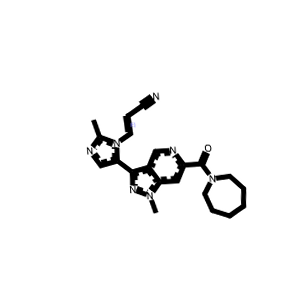 Cc1ncc(-c2nn(C)c3cc(C(=O)N4CCCCCC4)ncc23)n1/C=C/C#N